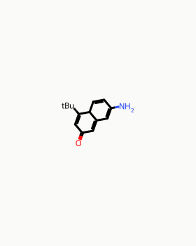 CC(C)(C)C1=CC(=O)C=C2C=C(N)C=CC21